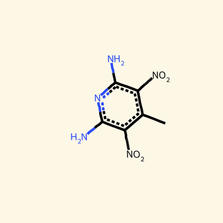 Cc1c([N+](=O)[O-])c(N)nc(N)c1[N+](=O)[O-]